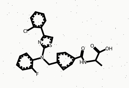 CC(NC(=O)c1ccc(CN(c2nc(-c3ccccc3Cl)cs2)c2ccccc2F)cc1)C(=O)O